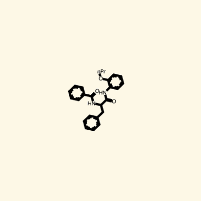 CCCOc1ccccc1NC(=O)C(Cc1ccccc1)NC(=O)c1ccccc1